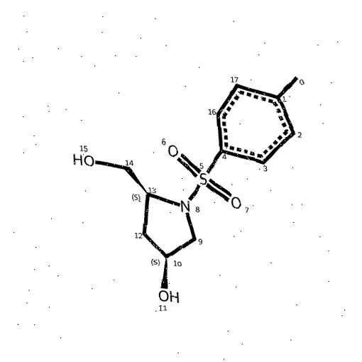 Cc1ccc(S(=O)(=O)N2C[C@@H](O)C[C@H]2CO)cc1